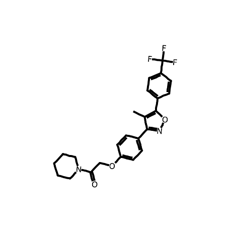 Cc1c(-c2ccc(OCC(=O)N3CCCCC3)cc2)noc1-c1ccc(C(F)(F)F)cc1